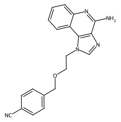 N#Cc1ccc(COCCn2cnc3c(N)nc4ccccc4c32)cc1